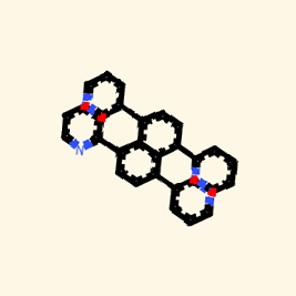 c1ccc(-c2ccc(-c3cccnc3)c3c(-c4ccccn4)ccc(-c4cccnc4)c23)nc1